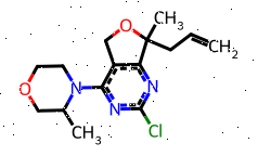 C=CCC1(C)OCc2c(N3CCOCC3C)nc(Cl)nc21